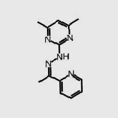 CC(=NNc1nc(C)cc(C)n1)c1ccccn1